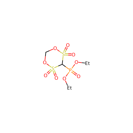 CCOP(=O)(OCC)C1S(=O)(=O)OCOS1(=O)=O